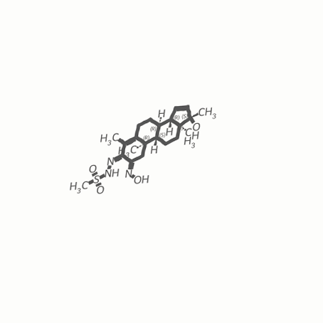 CC1=C2CC[C@@H]3[C@H](CC[C@@]4(C)[C@H]3C=C[C@]4(C)O)[C@@]2(C)CC(=NO)C1=NNS(C)(=O)=O